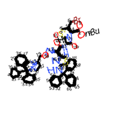 CCCCOC(=O)C1=C(CBr)C[S+]([O-])[C@@H]2[C@H](NC(=O)/C(=N/OCc3ccn(C(c4ccccc4)(c4ccccc4)c4ccccc4)n3)c3csc(NC(c4ccccc4)(c4ccccc4)c4ccccc4)n3)C(=O)N12